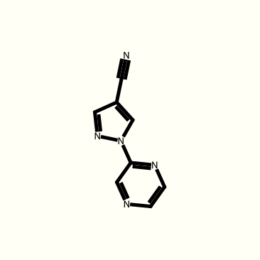 N#Cc1cnn(-c2cnccn2)c1